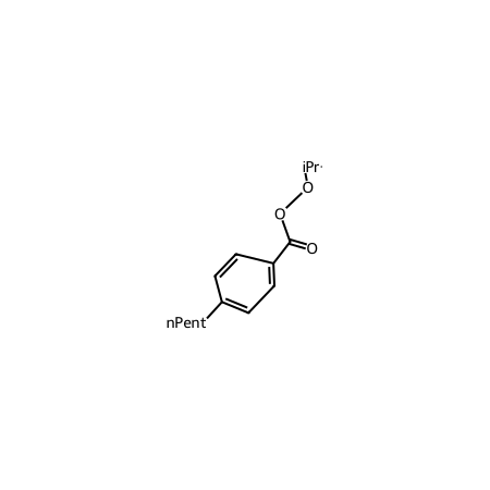 CCCCCc1ccc(C(=O)OO[C](C)C)cc1